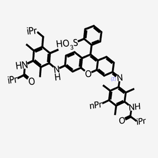 CCCc1c(C)c(/N=c2/ccc3c(-c4ccccc4S(=O)(=O)O)c4ccc(Nc5c(C)c(CC(C)C)c(C)c(NC(=O)C(C)C)c5C)cc4oc-3c2)c(C)c(NC(=O)C(C)C)c1C